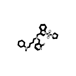 CN(CCCCN(Cc1cccnc1F)Cc1cn(S(=O)(=O)N2CCCC2)c2ccccc12)C1CCCCC1